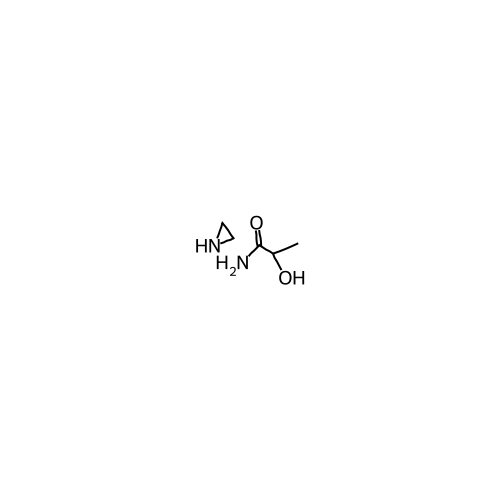 C1CN1.CC(O)C(N)=O